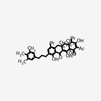 CC(=O)C1=C(O)C(C(C)C)[C@@]2(C)C[C@@]3(C)Cc4c(C(C)C)cc(CCCc5cc(C)c(C)c(C)c5)c(O)c4C(=O)C3=C(O)[C@@]2(O)C1=O